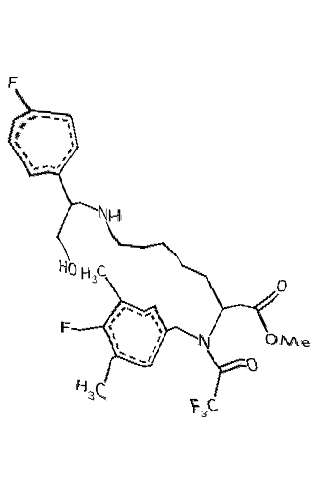 COC(=O)C(CCCCNC(CO)c1ccc(F)cc1)N(C(=O)C(F)(F)F)c1cc(C)c(F)c(C)c1